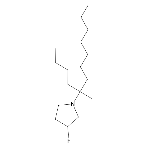 CCCCCCCC(C)(CCCC)N1CCC(F)C1